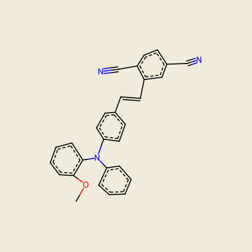 COc1ccccc1N(c1ccccc1)c1ccc(C=Cc2cc(C#N)ccc2C#N)cc1